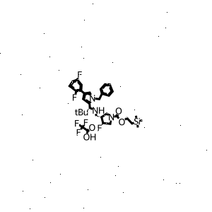 CC(C)(C)[C@@H](NC[C@@H]1CN(C(=O)OCC[Si](C)(C)C)C[C@@H]1F)c1cc(-c2cc(F)ccc2F)cn1Cc1ccccc1.O=C(O)C(F)(F)F